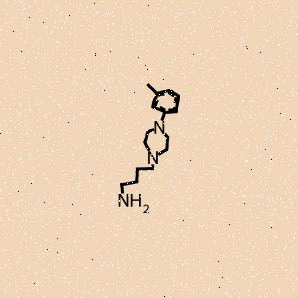 Cc1cccc(N2CCN(CCCCN)CC2)c1